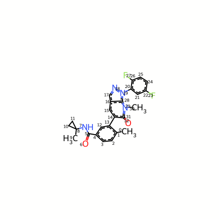 Cc1ccc(C(=O)NC2(C)CC2)cc1-c1cc2cnn(-c3cc(F)ccc3F)c2n(C)c1=O